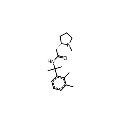 Cc1cccc(C(C)(C)NC(=O)C[C@@H]2CCCN2C)c1C